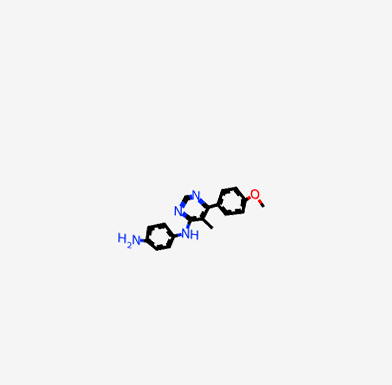 COc1ccc(-c2ncnc(Nc3ccc(N)cc3)c2C)cc1